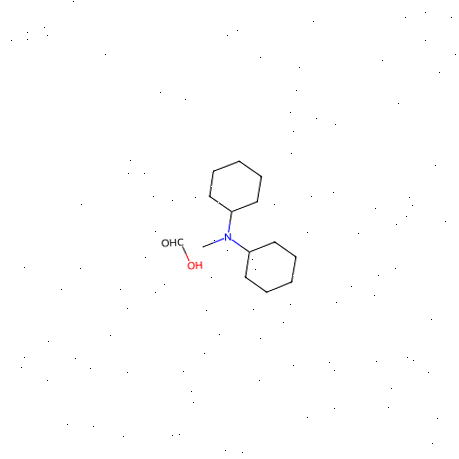 CN(C1CCCCC1)C1CCCCC1.O=CO